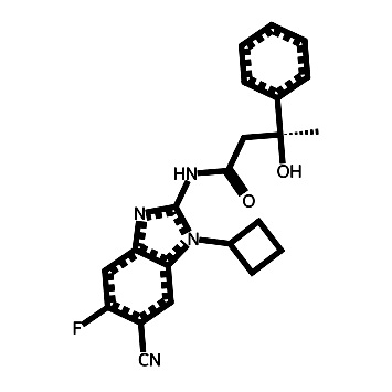 C[C@](O)(CC(=O)Nc1nc2cc(F)c(C#N)cc2n1C1CCC1)c1ccccc1